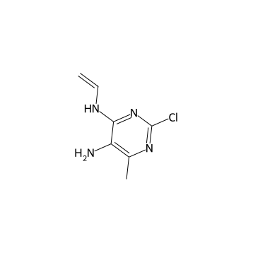 C=CNc1nc(Cl)nc(C)c1N